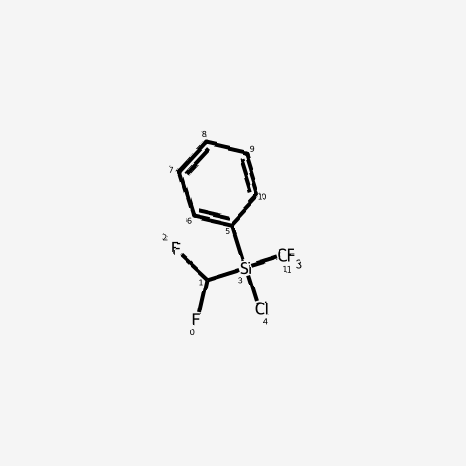 FC(F)[Si](Cl)(c1ccccc1)C(F)(F)F